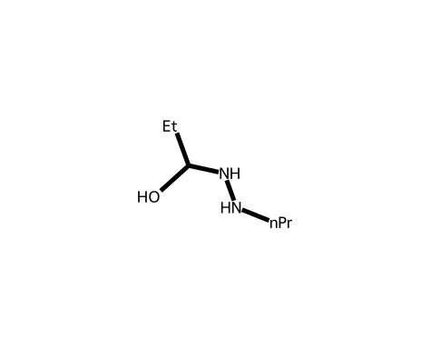 CCCNNC(O)CC